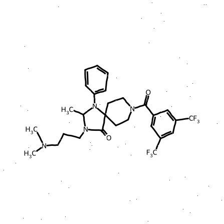 CC1N(CCCN(C)C)C(=O)C2(CCN(C(=O)c3cc(C(F)(F)F)cc(C(F)(F)F)c3)CC2)N1c1ccccc1